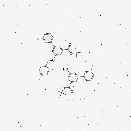 CC(C)(C)OC(=O)c1cc(O)cc(-c2cccc(F)c2)c1.CC(C)(C)OC(=O)c1cc(OCc2ccccc2)cc(-c2cccc(F)c2)c1